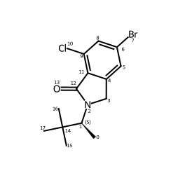 C[C@H](N1Cc2cc(Br)cc(Cl)c2C1=O)C(C)(C)C